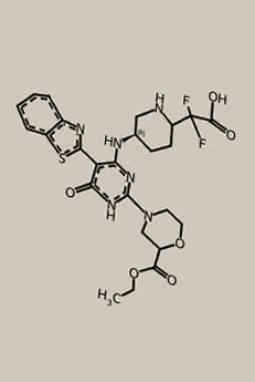 CCOC(=O)C1CN(c2nc(N[C@@H]3CCC(C(F)(F)C(=O)O)NC3)c(-c3nc4ccccc4s3)c(=O)[nH]2)CCO1